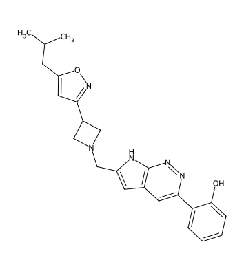 CC(C)Cc1cc(C2CN(Cc3cc4cc(-c5ccccc5O)nnc4[nH]3)C2)no1